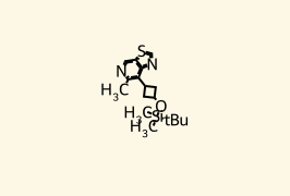 Cc1ncc2scnc2c1C1CC(O[Si](C)(C)C(C)(C)C)C1